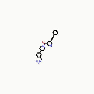 NCc1cccc(C2CCN(C(=O)c3cncc(C#Cc4ccccc4)c3)CC2)c1